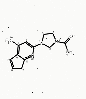 NC(=O)N1CCN(c2cc(C(F)(F)F)c3c(n2)CC=C3)C1